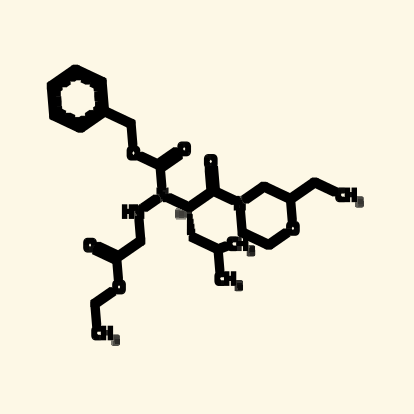 CCOC(=O)CNN(C(=O)OCc1ccccc1)[C@@H](CC(C)C)C(=O)N1CCOC(CC)C1